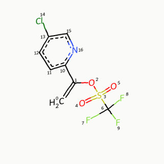 C=C(OS(=O)(=O)C(F)(F)F)c1ccc(Cl)cn1